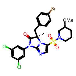 COC1CCCN(S(=O)(=O)c2cnc3n2[C@](C)(Cc2ccc(Br)cc2)C(=O)N3c2cc(Cl)cc(Cl)c2)C1